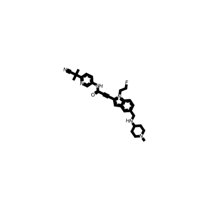 CN1CCC(NCc2ccc3c(c2)cc(C#CC(=O)Nc2ccc(C(C)(C)C#N)nc2)n3CCF)CC1